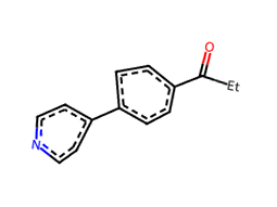 CCC(=O)c1ccc(-c2ccncc2)cc1